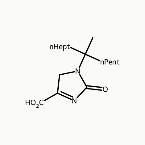 CCCCCCCC(C)(CCCCC)N1CC(C(=O)O)=NC1=O